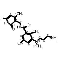 Cc1cc(C)c(CNC(=O)c2cc(Cl)cc(N(C)CCCN)c2C)c(=O)[nH]1